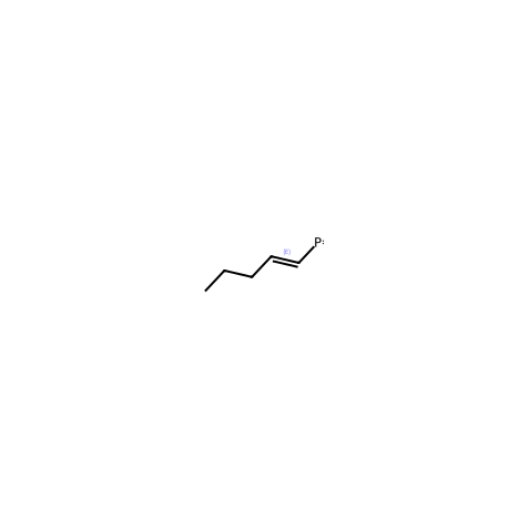 CCC/C=C/[P]